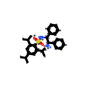 CC(C)c1cc(C(C)C)c(S(=O)(=O)N[C@@H](c2ccccc2)C(N)c2ccccc2)c(C(C)C)c1